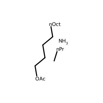 CCCC.CCCCCCCCCCCCOC(C)=O.N